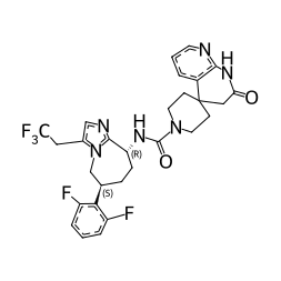 O=C1CC2(CCN(C(=O)N[C@@H]3CC[C@@H](c4c(F)cccc4F)Cn4c(CC(F)(F)F)cnc43)CC2)c2cccnc2N1